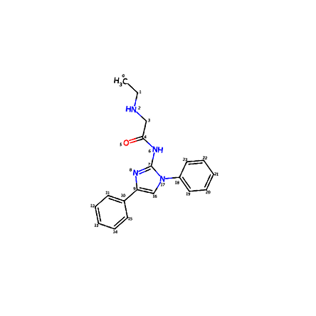 CCNCC(=O)Nc1nc(-c2ccccc2)cn1-c1ccccc1